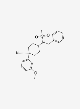 COc1cccc(C2(C#N)CCC(N(Cc3ccccc3)S(C)(=O)=O)CC2)c1